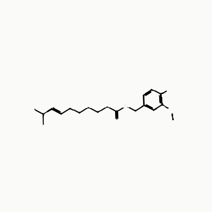 COc1cc(CNC(=O)CCCCCC=CC(C)C)ccc1O